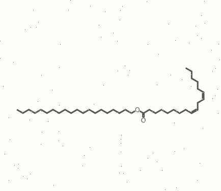 CCCCC/C=C\C/C=C\CCCCCCCC(=O)OCCCCCCCCCCCCCCCCCCCC